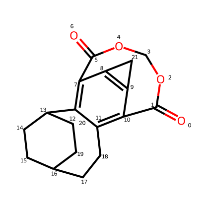 O=C1OCOC(=O)c2c3c(c1c1c2C2CCC(CC1)CC2)C3